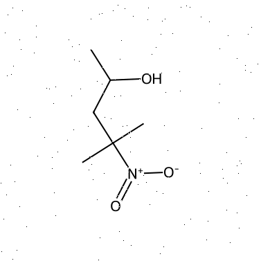 CC(O)CC(C)(C)[N+](=O)[O-]